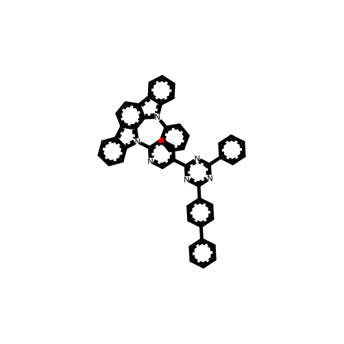 c1ccc(-c2ccc(-c3nc(-c4ccccc4)nc(-c4ccc(-n5c6ccccc6c6ccc7c8ccccc8n(-c8ccccc8)c7c65)nc4)n3)cc2)cc1